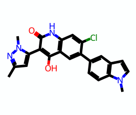 Cc1cc(-c2c(O)c3cc(-c4ccc5c(ccn5C)c4)c(Cl)cc3[nH]c2=O)n(C)n1